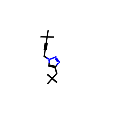 CC(C)(C)C#CCn1cc(CC(C)(C)C)nn1